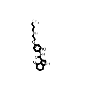 CCCCNCCOc1ccc(NC(=O)c2c[nH]c3c2C(=O)CCC3)cc1.Cl